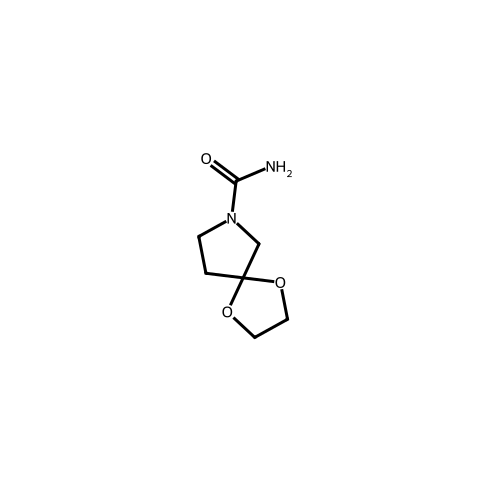 NC(=O)N1CCC2(C1)OCCO2